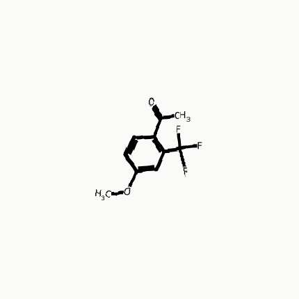 COc1ccc(C(C)=O)c(C(F)(F)F)c1